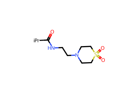 CC(C)C(=O)NCCN1CCS(=O)(=O)CC1